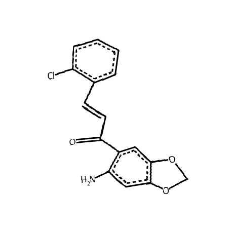 Nc1cc2c(cc1C(=O)C=Cc1ccccc1Cl)OCO2